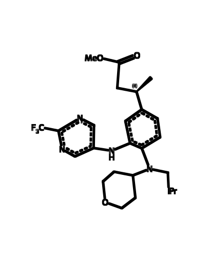 COC(=O)C[C@@H](C)c1ccc(N(CC(C)C)C2CCOCC2)c(Nc2cnc(C(F)(F)F)nc2)c1